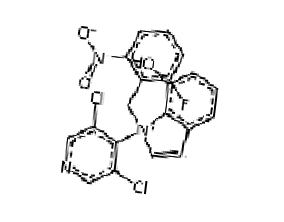 O=[N+]([O-])c1cccc(F)c1C[N+]1(c2c(Cl)cncc2Cl)C=[C]c2cccc(O)c21